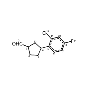 O=CC1CCC(c2ccc(F)cc2Cl)C1